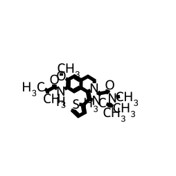 COc1cc2c(cc1NC(=O)C(C)C)-c1c(-c3cccs3)nc(C(=O)N(C)C(C)(C)C)n1CC2